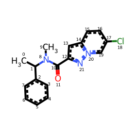 CC(c1ccccc1)N(C)C(=O)c1cc2ccc(Cl)cn2n1